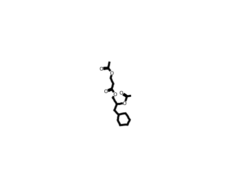 CC(=O)OCCC(=O)OCC(CC1CCCCC1)OC(C)=O